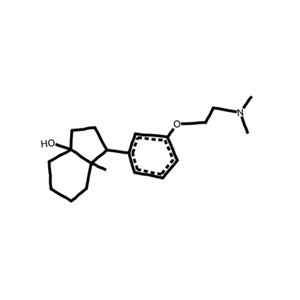 CN(C)CCOc1cccc(C2CCC3(O)CCCCC23C)c1